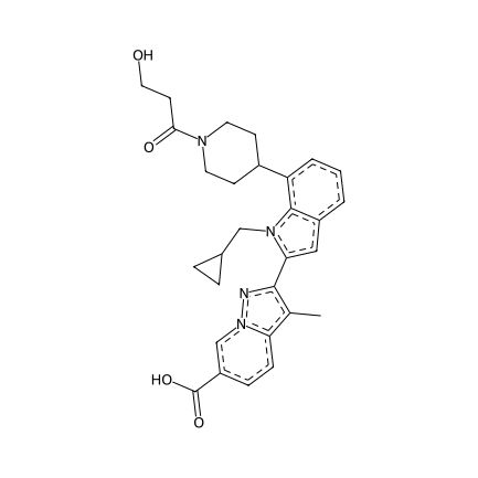 Cc1c(-c2cc3cccc(C4CCN(C(=O)CCO)CC4)c3n2CC2CC2)nn2cc(C(=O)O)ccc12